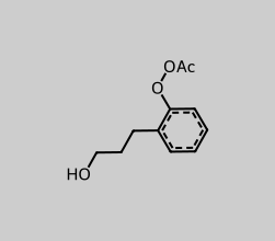 CC(=O)OOc1ccccc1CCCO